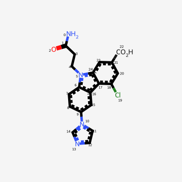 NC(=O)CCn1c2ccc(-n3ccnc3)cc2c2c(Cl)cc(C(=O)O)cc21